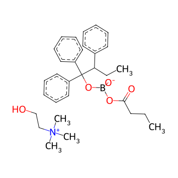 CCCC(=O)OB([O-])OC(c1ccccc1)(c1ccccc1)C(CC)c1ccccc1.C[N+](C)(C)CCO